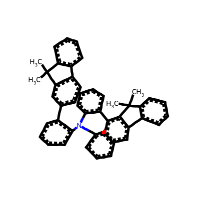 CC1(C)c2ccccc2-c2ccc(-c3ccccc3N(c3ccccc3)c3ccccc3-c3cccc4c3C(C)(C)c3ccccc3-4)cc21